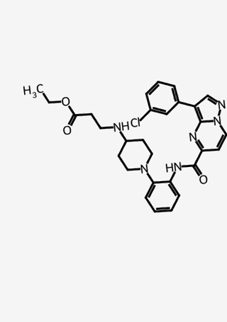 CCOC(=O)CCNC1CCN(c2ccccc2NC(=O)c2ccn3ncc(-c4cccc(Cl)c4)c3n2)CC1